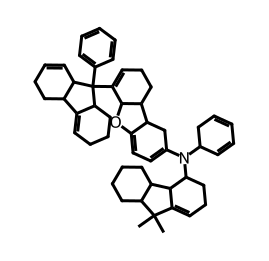 CC1(C)C2=CCCC(N(C3=CC=C4OC5C(C6(c7ccccc7)C7CCCC=C7C7CCC=CC76)=CCCC5C4C3)C3C=CC=CC3)C2C2CCCCC21